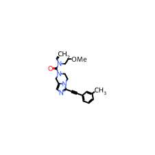 C=CN(CCOC)C(=O)N1CCn2c(cnc2C#Cc2cccc(C)c2)C1